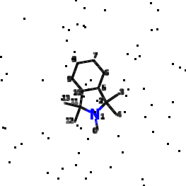 CN1C(C)(C)C2CCCCC2C1(C)C